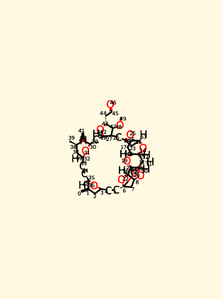 C=C1CC2CC[C@@]34CC5O[C@H]6[C@@H](O3)[C@H]3O[C@H](CC[C@@H]3O[C@H]6[C@H]5O4)CC(=O)CC3[C@H](C[C@H]4O[C@@H](CC[C@@H]1O2)C[C@@H](C)C4=C)O[C@H](CC=O)[C@@H]3OC